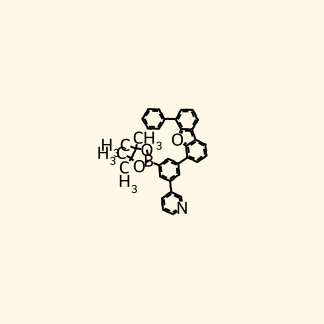 CC1(C)OB(c2cc(-c3cccnc3)cc(-c3cccc4c3oc3c(-c5ccccc5)cccc34)c2)OC1(C)C